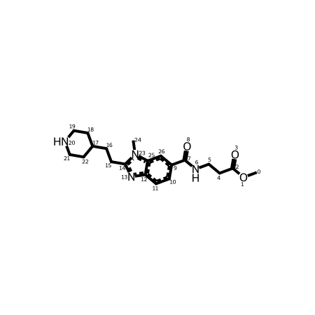 COC(=O)CCNC(=O)c1ccc2nc(CCC3CCNCC3)n(C)c2c1